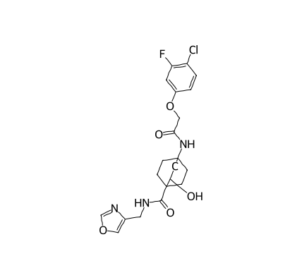 O=C(COc1ccc(Cl)c(F)c1)NC12CCC(C(=O)NCc3cocn3)(CC1)C(O)C2